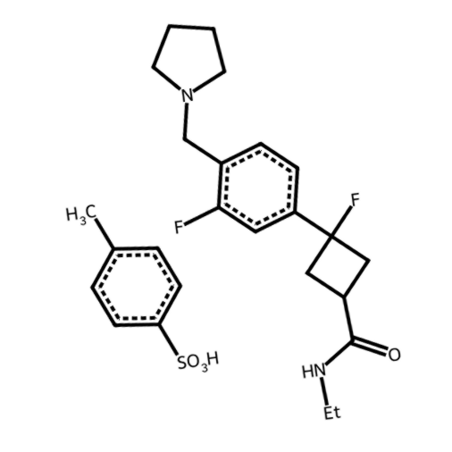 CCNC(=O)C1CC(F)(c2ccc(CN3CCCC3)c(F)c2)C1.Cc1ccc(S(=O)(=O)O)cc1